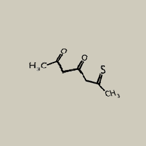 CC(=O)CC(=O)CC(C)=S